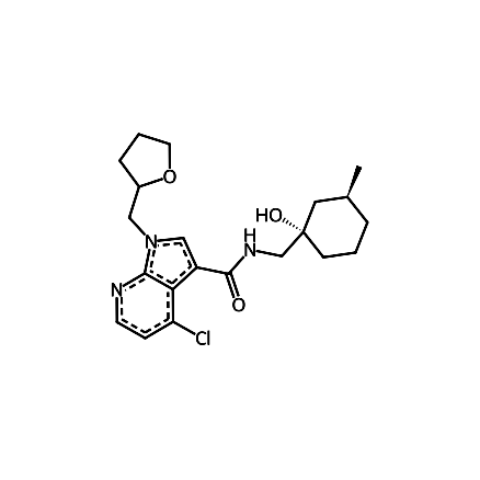 C[C@H]1CCC[C@@](O)(CNC(=O)c2cn(CC3CCCO3)c3nccc(Cl)c23)C1